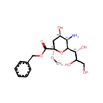 CO[C@]1(C(=O)OCc2ccccc2)C[C@@H](O)[C@@H](N)C([C@H](O)C(O)CO)O1